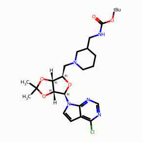 CC(C)(C)OC(=O)NCC1CCCN(C[C@H]2O[C@@H](n3ccc4c(Cl)ncnc43)[C@@H]3OC(C)(C)O[C@@H]32)C1